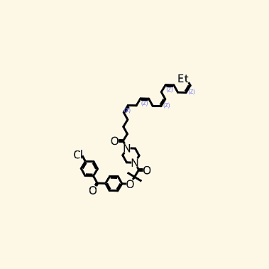 CC/C=C\C/C=C\C/C=C\C/C=C\C/C=C\CCCC(=O)N1CCN(C(=O)C(C)(C)Oc2ccc(C(=O)c3ccc(Cl)cc3)cc2)CC1